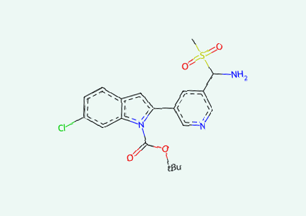 CC(C)(C)OC(=O)n1c(-c2cncc(C(N)S(C)(=O)=O)c2)cc2ccc(Cl)cc21